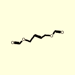 O=COCC=CCOC=O